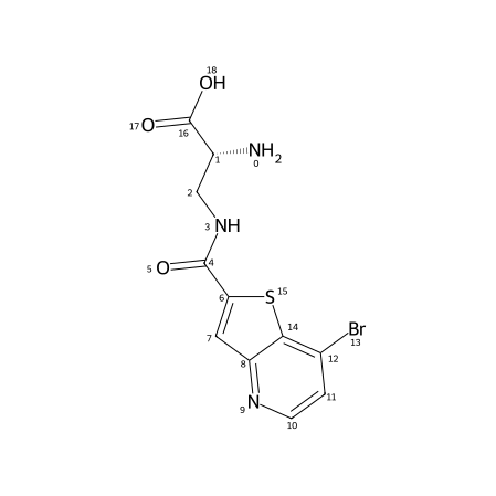 N[C@H](CNC(=O)c1cc2nccc(Br)c2s1)C(=O)O